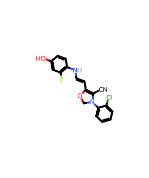 N#CC1=C(/C=C/Nc2ccc(O)cc2F)OCN1c1ccccc1Cl